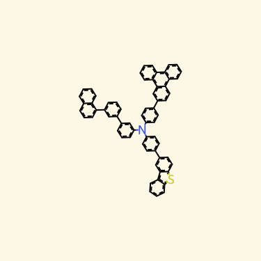 c1cc(-c2cccc(N(c3ccc(-c4ccc5sc6ccccc6c5c4)cc3)c3ccc(-c4ccc5c6ccccc6c6ccccc6c5c4)cc3)c2)cc(-c2cccc3ccccc23)c1